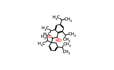 CC(C)C1=CC=CC(C(=O)C(O)c2c(C(C)C)cc(C(C)C)cc2C(C)C)(C(C)C)[CH]1